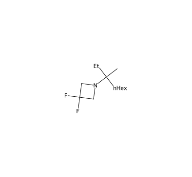 CCCCCCC(C)(CC)N1CC(F)(F)C1